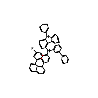 Fc1cccc(-c2cccc3cccc(-c4ccc(N(c5cccc(-c6ccccc6)c5)c5cccc6c5c5ccccc5n6-c5ccccc5)cc4)c23)c1